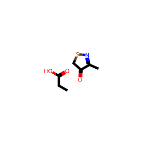 CC1=NSCC1=O.CCC(=O)O